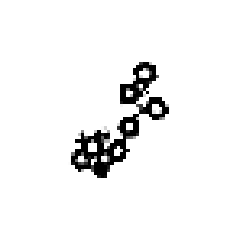 CC1(C)c2ccccc2C2(c3ccccc3-c3ccc(-c4ccc(N(c5ccccc5)c5cccc6c5sc5ccccc56)cc4)cc32)c2ccccc21